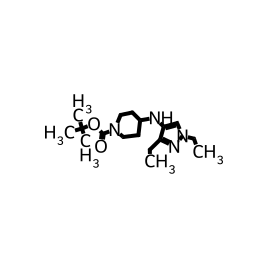 CCc1nn(CC)cc1NC1CCN(C(=O)OC(C)(C)C)CC1